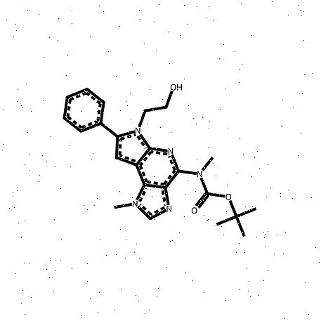 CN(C(=O)OC(C)(C)C)c1nc2c(cc(-c3ccccc3)n2CCO)c2c1ncn2C